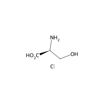 N[C@@H](CO)C(=O)O.[C]